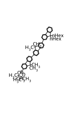 CCCCCCC1(CCCCCC)c2ccccc2-c2ccc(-c3ccc4c(c3)C(C)(C)c3cc(-c5ccc6c(c5)C(C)(C)c5cc(B7OC(C)(C)C(C)(C)O7)ccc5-6)ccc3-4)cc21